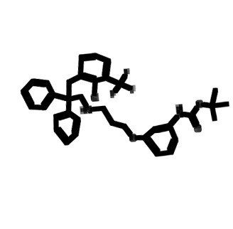 CC(C)(C)OC(=O)Nc1cccc(OCCCNCC(Cc2cccc(C(F)(F)F)c2Cl)(c2ccccc2)c2ccccc2)c1